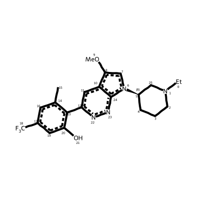 CCN1CCC[C@@H](n2cc(OC)c3cc(-c4c(C)cc(C(F)(F)F)cc4O)nnc32)C1